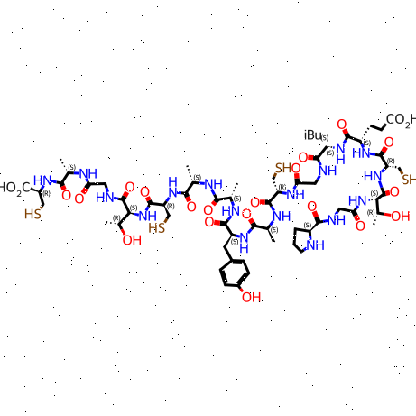 CC[C@H](C)[C@H](NC(=O)[C@H](CCC(=O)O)NC(=O)[C@H](CS)NC(=O)[C@@H](NC(=O)CNC(=O)[C@@H]1CCCN1)[C@@H](C)O)C(=O)NCC(=O)N[C@@H](CS)C(=O)N[C@@H](C)C(=O)N[C@@H](Cc1ccc(O)cc1)C(=O)N[C@@H](C)C(=O)N[C@@H](C)C(=O)N[C@@H](CS)C(=O)N[C@H](C(=O)NCC(=O)N[C@@H](C)C(=O)N[C@@H](CS)C(=O)O)[C@@H](C)O